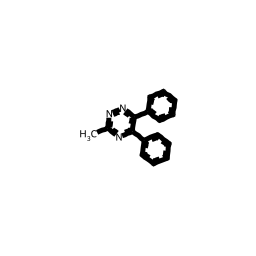 Cc1nnc(-c2ccccc2)c(-c2ccccc2)n1